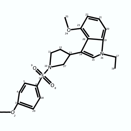 CCOc1ccc(S(=O)(=O)N2CCC(c3cn(CC)c4cccc(OC)c34)C2)cc1